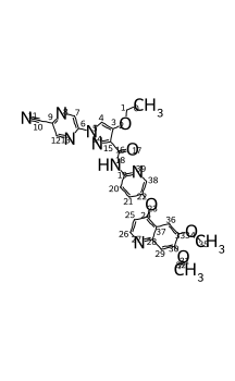 CCOc1cn(-c2cnc(C#N)cn2)nc1C(=O)Nc1ccc(Oc2ccnc3cc(OC)c(OC)cc23)cn1